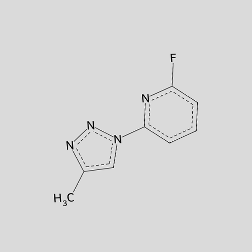 Cc1cn(-c2cccc(F)n2)nn1